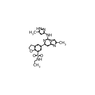 CCNS(=O)(=O)c1cc(-c2cc3nc(C)cn3c(Nc3cc(C)[nH]n3)n2)cc2c1OCC2